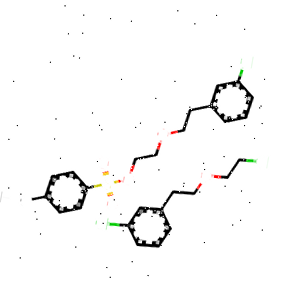 Cc1ccc(S(=O)(=O)OCCOCCc2cccc(Cl)c2)cc1.ClCCOCCc1cccc(Cl)c1